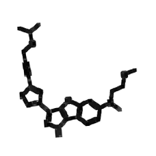 COCCN(C)c1ccc2c(c1)oc1c(-c3csc(C#CCOC(C)C)c3)n[nH]c12